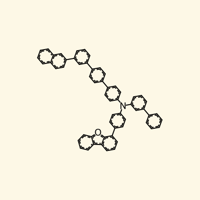 c1ccc(-c2cccc(N(c3ccc(-c4ccc(-c5cccc(-c6ccc7ccccc7c6)c5)cc4)cc3)c3ccc(-c4cccc5c4oc4ccccc45)cc3)c2)cc1